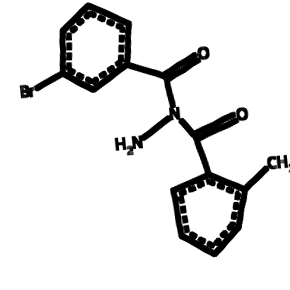 Cc1ccccc1C(=O)N(N)C(=O)c1cccc(Br)c1